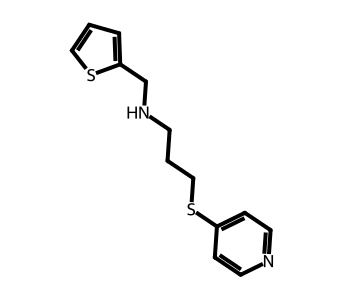 c1csc(CNCCCSc2ccncc2)c1